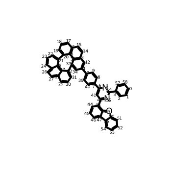 c1ccc(-c2nc(-c3ccc(-c4cc5ccc6cccc7c8cccc9ccc%10cccc(c(c4)c5c67)c%10c98)cc3)cc(-c3cccc4c3oc3ccccc34)n2)cc1